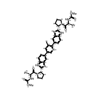 COC(=O)N[C@H](C(=O)N1CCC[C@H]1c1nc2cc(-c3cnc(-c4ccc5[nH]c([C@@H]6CCCN6C(=O)[C@@H](NC(=O)OC)C(C)C)nc5c4)c(C)c3)ccc2[nH]1)C(C)C